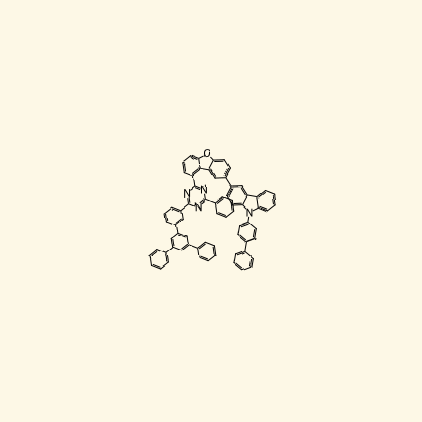 c1ccc(-c2ccc(-n3c4ccccc4c4cc(-c5ccc6oc7cccc(-c8nc(-c9ccccc9)nc(-c9cccc(-c%10cc(-c%11ccccc%11)cc(-c%11ccccc%11)c%10)c9)n8)c7c6c5)ccc43)cc2)cc1